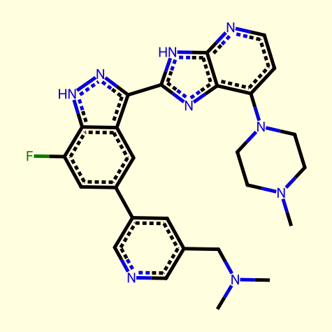 CN(C)Cc1cncc(-c2cc(F)c3[nH]nc(-c4nc5c(N6CCN(C)CC6)ccnc5[nH]4)c3c2)c1